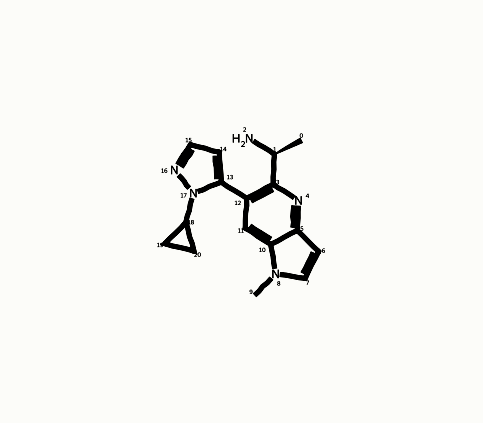 C[C@H](N)c1nc2ccn(C)c2cc1-c1ccnn1C1CC1